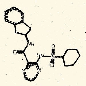 O=C(NC1Cc2ccccc2C1)c1nccnc1NS(=O)(=O)C1CCCCC1